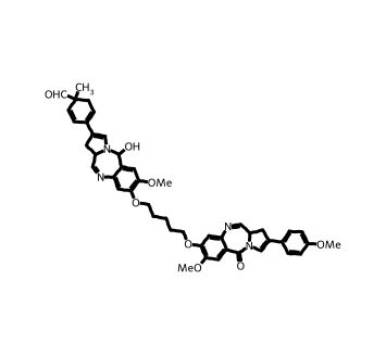 COc1ccc(C2=CN3C(=O)c4cc(OC)c(OCCCCCOc5cc6c(cc5OC)C(O)N5C=C(C7=CCC(C)(C=O)C=C7)CC5C=N6)cc4N=CC3C2)cc1